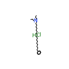 CCCN(CCC)CCCCCCCCCCCCCCCCCCc1ccccc1.Cl